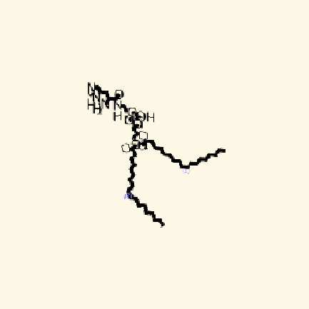 CCCCCCCC/C=C\CCCCCCCC(=O)OCC(COP(=O)(O)OCCNC(=O)C(N)Cc1cnc[nH]1)OC(=O)CCCCCCC/C=C\CCCCCCCC